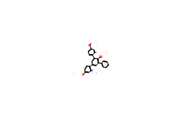 Nc1cc(C(=O)O)ccc1-c1cc(-c2ccccc2)c(C(=O)O)c(-c2ccc(C(=O)O)cc2)c1